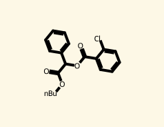 CCCCOC(=O)C(OC(=O)c1ccccc1Cl)c1ccccc1